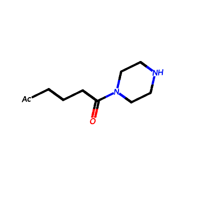 CC(=O)CCCC(=O)N1CCNCC1